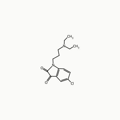 CCN(CC)CCCN1C(=O)C(=O)c2cc(Cl)ccc21